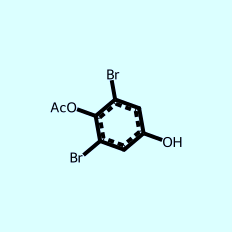 CC(=O)Oc1c(Br)cc(O)cc1Br